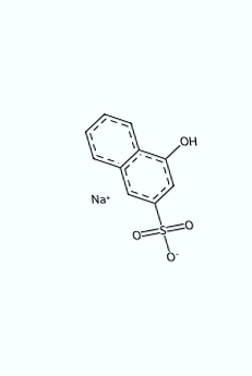 O=S(=O)([O-])c1cc(O)c2ccccc2c1.[Na+]